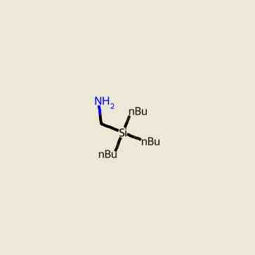 CCCC[Si](CN)(CCCC)CCCC